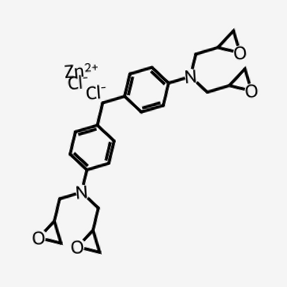 [Cl-].[Cl-].[Zn+2].c1cc(N(CC2CO2)CC2CO2)ccc1Cc1ccc(N(CC2CO2)CC2CO2)cc1